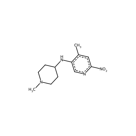 Cc1cc([N+](=O)[O-])ncc1NC1CCN(C)CC1